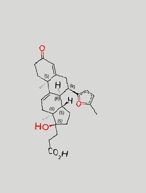 Cc1ccc([C@@H]2CC3=CC(=O)CC[C@]3(C)C3=CC[C@@]4(C)[C@@H](CC[C@]4(O)CCC(=O)O)[C@@H]32)o1